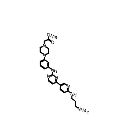 COC(=O)CN1CCN(c2cccc(Nc3nccc(-c4ccc(NCCCNC(C)=O)nc4)n3)c2)CC1